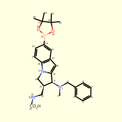 CN(Cc1ccccc1)[C@@H]1c2cc3cc(B4OC(C)(C)C(C)(C)O4)ccc3n2C[C@@H]1CNC(=O)O